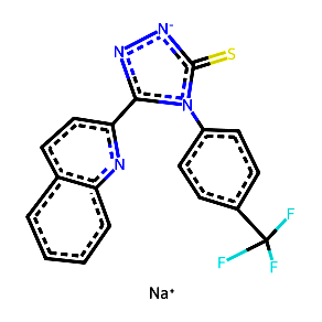 FC(F)(F)c1ccc(-n2c(-c3ccc4ccccc4n3)n[n-]c2=S)cc1.[Na+]